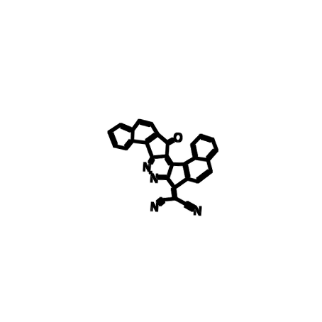 N#CC(C#N)=C1c2ccc3ccccc3c2-c2c1nnc1c2C(=O)c2ccc3ccccc3c2-1